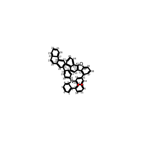 c1ccc(-c2ccccc2N(c2ccc(-c3ccc4c(ccc5ccccc54)c3)cc2)c2cccc(-c3cccc4oc5c6ccccc6ccc5c34)c2)cc1